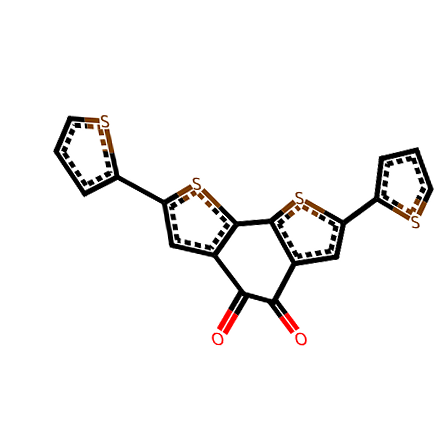 O=C1C(=O)c2cc(-c3cccs3)sc2-c2sc(-c3cccs3)cc21